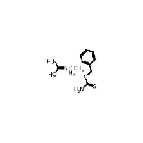 C.C.NC(=S)OCc1ccccc1.NC(O)=S